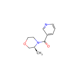 C[C@H]1COCCN1C(=O)c1cc[c]nc1